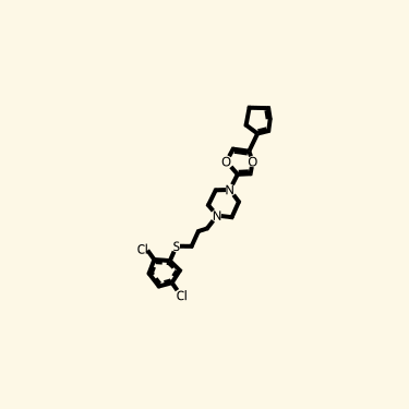 Clc1ccc(Cl)c(SCCCN2CCN(C3=COC(C4=CC=CCC4)=CO3)CC2)c1